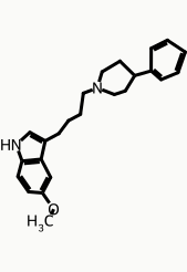 COc1ccc2[nH]cc(CCCCN3CCC(c4ccccc4)CC3)c2c1